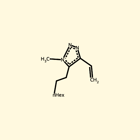 C=Cc1nnn(C)c1CCCCCCCC